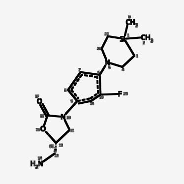 C[Si]1(C)CCN(c2ccc(N3C[C@H](CN)OC3=O)cc2F)CC1